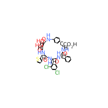 O=C(O)[C@@H]1Cc2ccc(cc2)NC(=O)[C@H](O)[C@@H](O)C(=O)N[C@H](Cc2cccs2)C(=O)N[C@@H](Cc2ccc(Cl)cc2Cl)C(=O)N[C@H](Cc2ccccc2)C(=O)N1